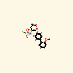 CCOc1ccccc1-c1ccc([C@H]2OCCC[C@H]2NS(=O)(=O)C(C)C)cc1